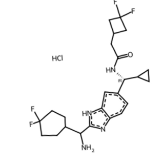 Cl.NC(c1nc2ccc([C@H](NC(=O)CC3CC(F)(F)C3)C3CC3)cc2[nH]1)C1CCC(F)(F)CC1